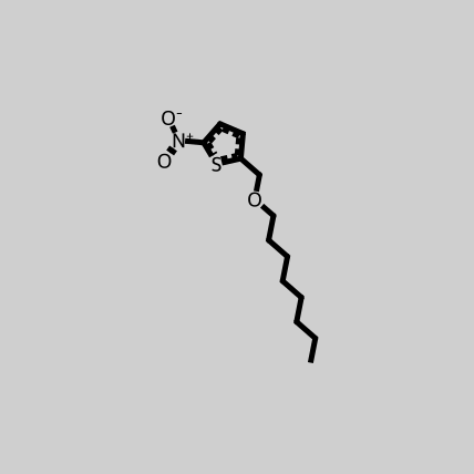 CCCCCCCCOCc1ccc([N+](=O)[O-])s1